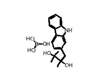 CC(C)(O)C(C)(O)Cc1ccc2c(c1)[nH]c1ccccc12.OB(O)O